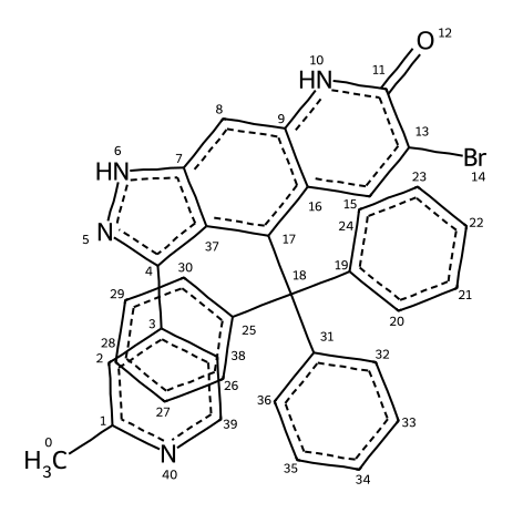 Cc1cc(-c2n[nH]c3cc4[nH]c(=O)c(Br)cc4c(C(c4ccccc4)(c4ccccc4)c4ccccc4)c23)ccn1